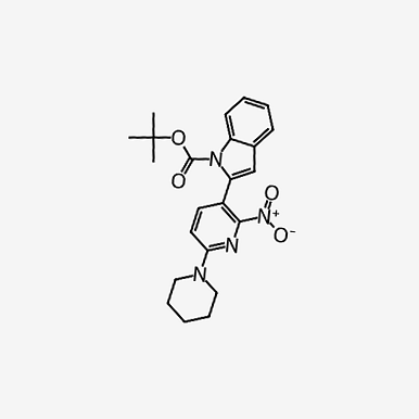 CC(C)(C)OC(=O)n1c(-c2ccc(N3CCCCC3)nc2[N+](=O)[O-])cc2ccccc21